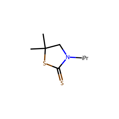 CC(C)N1CC(C)(C)SC1=S